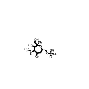 CNC1C(O)C[C@@H](COP(=O)(O)O)O[C@@](O)(CO)C1O